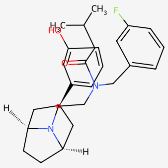 CC(C)CC(=O)N(CCN1[C@@H]2CC[C@H]1C[C@@H](c1cccc(O)c1)C2)Cc1cccc(F)c1